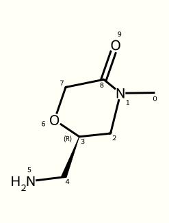 CN1C[C@@H](CN)OCC1=O